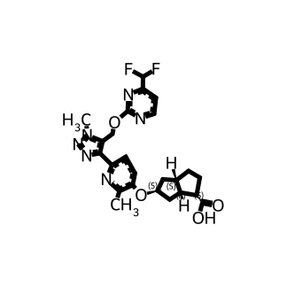 Cc1nc(-c2nnn(C)c2COc2nccc(C(F)F)n2)ccc1O[C@H]1C[C@@H]2CC[C@H](C(=O)O)[C@@H]2C1